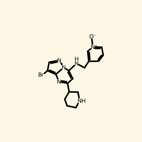 [O-][n+]1cccc(CNc2cc(C3CCCNC3)nc3c(Br)cnn23)c1